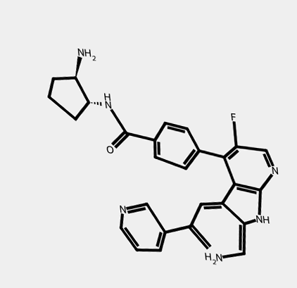 C=C(/C=c1\c(=C/N)[nH]c2ncc(F)c(-c3ccc(C(=O)N[C@@H]4CCC[C@H]4N)cc3)c12)c1cccnc1